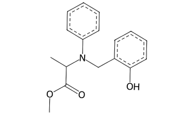 COC(=O)C(C)N(Cc1ccccc1O)c1ccccc1